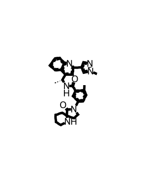 Cc1ccc(N2CCC3(CCCCN3)C2=O)cc1C(=O)N[C@H](C)c1cc(-c2cnn(C)c2)nc2ccccc12